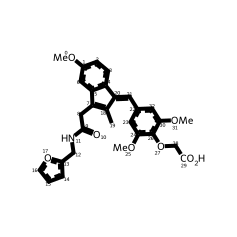 COc1ccc2c(c1)C(CC(=O)NCc1ccco1)=C(C)C2=Cc1cc(OC)c(OCC(=O)O)c(OC)c1